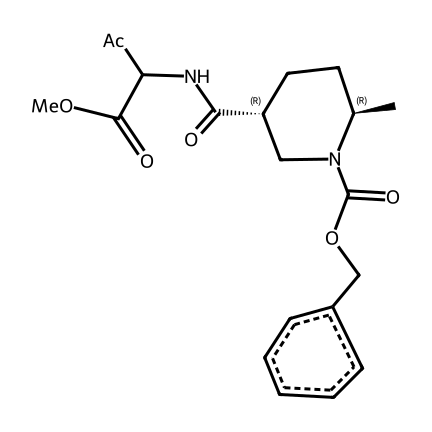 COC(=O)C(NC(=O)[C@@H]1CC[C@@H](C)N(C(=O)OCc2ccccc2)C1)C(C)=O